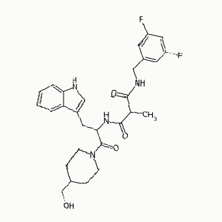 CC(C(=O)NCc1cc(F)cc(F)c1)C(=O)NC(Cc1c[nH]c2ccccc12)C(=O)N1CCC(CO)CC1